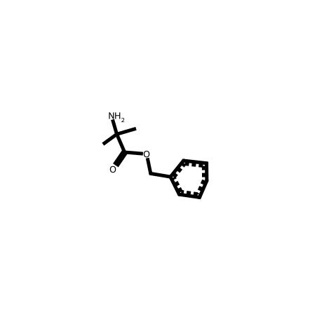 CC(C)(N)C(=O)OCc1ccccc1